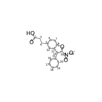 O=C(O)CCc1ccc2oc([N+](=O)[O-])c(-c3ccccc3)c2c1